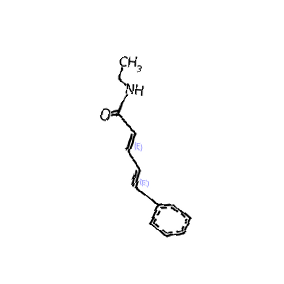 CCNC(=O)/C=C/C=C/c1ccccc1